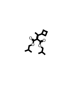 CC(=C(C(=O)OCC(C)C)C(=O)OCC(C)C)C1CCC1